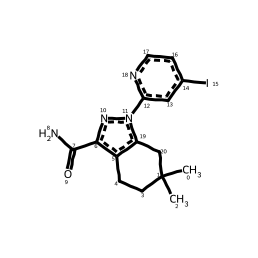 CC1(C)CCc2c(C(N)=O)nn(-c3cc(I)ccn3)c2C1